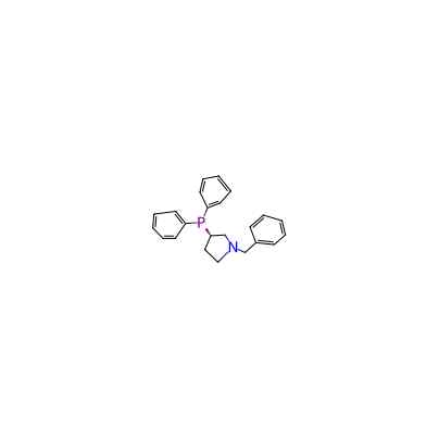 c1ccc(CN2CC[C@@H](P(c3ccccc3)c3ccccc3)C2)cc1